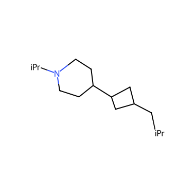 CC(C)CC1CC(C2CCN(C(C)C)CC2)C1